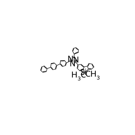 C[Si]1(C)c2ccccc2-c2cc(-c3nc(-c4ccccc4)nc(-c4ccc(-c5ccc(-c6ccccc6)cc5)cc4)n3)ccc21